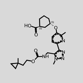 Cc1nc(-c2nnn(C)c2CNC(=O)OCCC2(C)CC2)ccc1O[C@H]1CCC[C@H](C(=O)O)C1